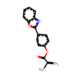 C=C(C)C(=O)Oc1ccc(-c2nc3ccccc3o2)cc1